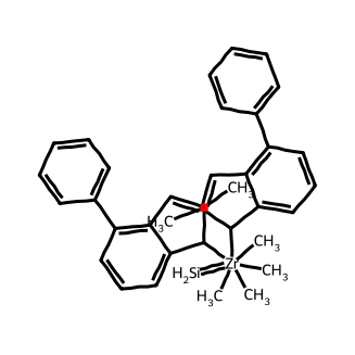 CC1=Cc2c(-c3ccccc3)cccc2[CH]1[Zr]([CH3])([CH3])([CH3])([CH3])(=[SiH2])[CH]1C(C)=Cc2c(-c3ccccc3)cccc21